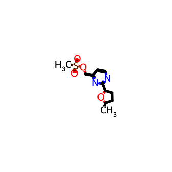 CC1CCC(c2nccc(COS(C)(=O)=O)n2)O1